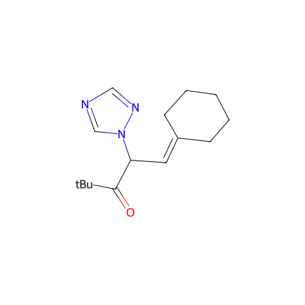 CC(C)(C)C(=O)C(C=C1CCCCC1)n1cncn1